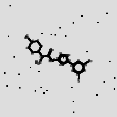 CC(=O)N1CCC(N(C)C(=O)Nc2cnc(-c3cc(F)cc(F)c3)s2)CC1